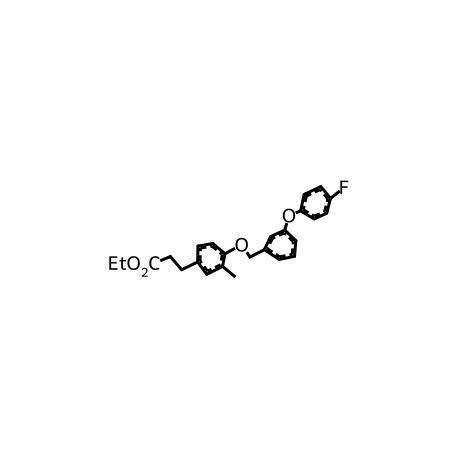 CCOC(=O)CCc1ccc(OCc2cccc(Oc3ccc(F)cc3)c2)c(C)c1